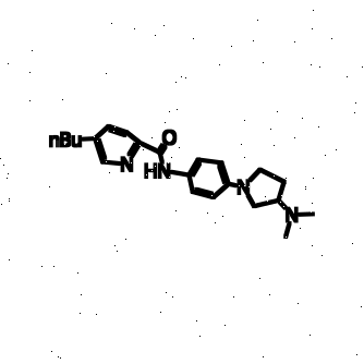 CCCCc1ccc(C(=O)Nc2ccc(N3CCC(N(C)C)C3)cc2)nc1